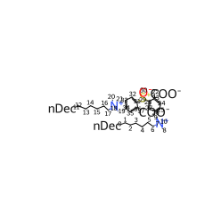 CCCCCCCCCCCCCCCC[N+](C)(C)C.CCCCCCCCCCCCCCCC[N+](C)(C)C.O=C([O-])c1ccccc1[S+]([O-])c1ccccc1C(=O)[O-]